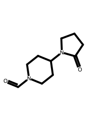 O=CN1CCC(N2CCCC2=O)CC1